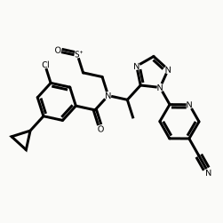 CC(c1ncnn1-c1ccc(C#N)cn1)N(CC[S+]=O)C(=O)c1cc(Cl)cc(C2CC2)c1